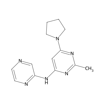 Cc1nc(Nc2cnccn2)cc(N2CCCC2)n1